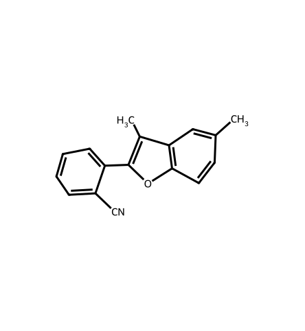 Cc1ccc2oc(-c3ccccc3C#N)c(C)c2c1